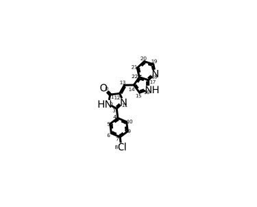 O=C1NC(c2ccc(Cl)cc2)=NC1=Cc1c[nH]c2ncccc12